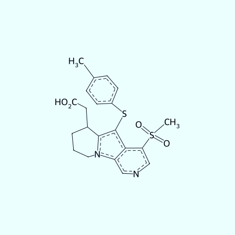 Cc1ccc(Sc2c3n(c4cncc(S(C)(=O)=O)c24)CCCC3CC(=O)O)cc1